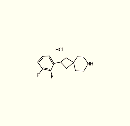 Cl.Fc1cccc(C2CC3(CCNCC3)C2)c1F